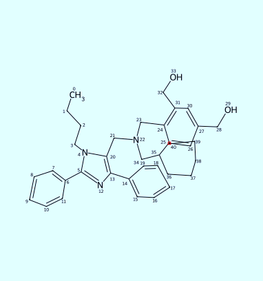 CCCCn1c(-c2ccccc2)nc(-c2ccccc2)c1CN(Cc1ccc(CO)cc1CO)CC1CCCCC1